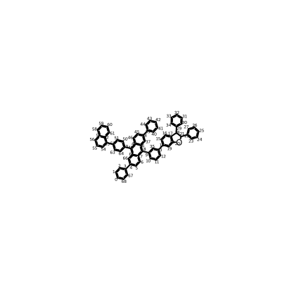 c1ccc(-c2ccc3c(-c4cccc(-c5ccc6c(c5)OC(c5ccccc5)C6c5ccccc5)c4)c4cc(-c5ccccc5)ccc4c(-c4ccc(-c5cccc6ccccc56)cc4)c3c2)cc1